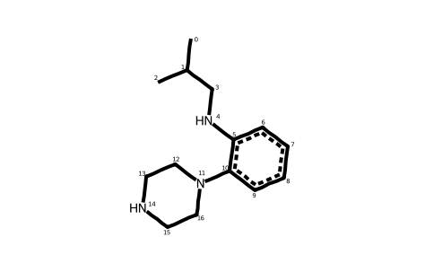 CC(C)CNc1ccccc1N1CCNCC1